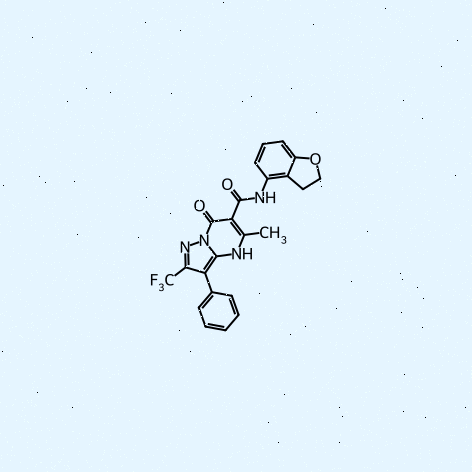 Cc1[nH]c2c(-c3ccccc3)c(C(F)(F)F)nn2c(=O)c1C(=O)Nc1cccc2c1CCO2